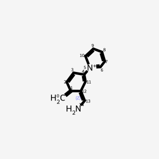 C=c1ccc(-[n+]2ccccc2)c/c1=C/N